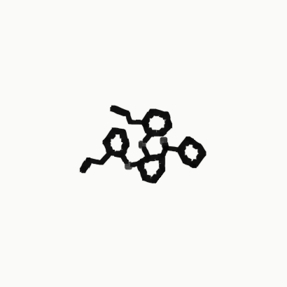 C=CCc1ccccc1Oc1cccc(C(=O)c2ccccc2)c1Oc1ccccc1CC=C